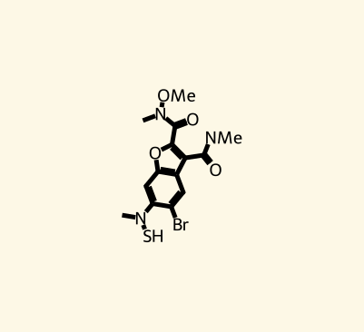 CNC(=O)c1c(C(=O)N(C)OC)oc2cc(N(C)S)c(Br)cc12